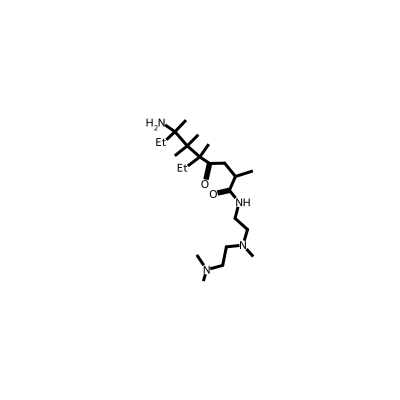 CCC(C)(N)C(C)(C)C(C)(CC)C(=O)CC(C)C(=O)NCCN(C)CCN(C)C